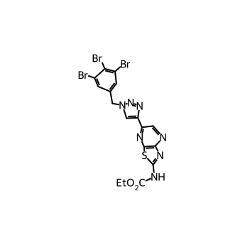 CCOC(=O)Nc1nc2ncc(-c3cn(Cc4cc(Br)c(Br)c(Br)c4)nn3)nc2s1